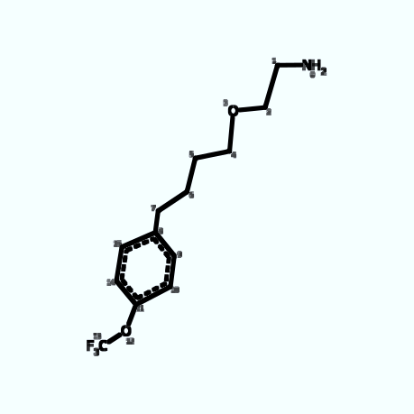 NCCOCCCCc1ccc(OC(F)(F)F)cc1